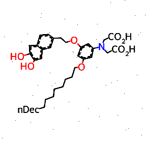 CCCCCCCCCCCCCCCCCCOc1cc(OCCc2ccc3cc(O)c(O)cc3c2)cc(N(CC(=O)O)CC(=O)O)c1